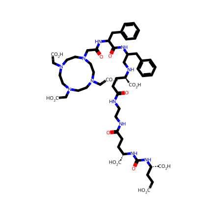 O=C(O)CC[C@H](NC(=O)N[C@@H](CCC(=O)NCCNC(=O)CC[C@@H](NCC(Cc1ccccc1)NC(=O)C(Cc1ccccc1)NC(=O)CN1CCN(CC(=O)O)CCN(CC(=O)O)CCN(CC(=O)O)CC1)C(=O)O)C(=O)O)C(=O)O